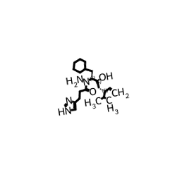 C=C[C@@H](C[C@H](O)[C@H](CC1CCCCC1)N(N)C(=O)CCc1c[nH]cn1)C(C)C